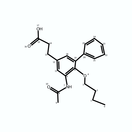 CCCCOc1c(NC(C)=O)cc(CCC(=O)O)cc1-c1ccccc1